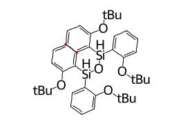 CC(C)(C)Oc1ccccc1[SiH](O[SiH](c1ccccc1OC(C)(C)C)c1ccccc1OC(C)(C)C)c1ccccc1OC(C)(C)C